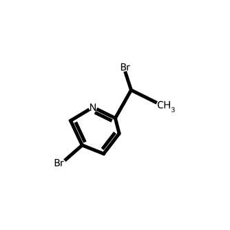 CC(Br)c1ccc(Br)cn1